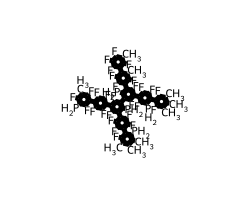 Cc1c(C)c(F)c(-c2c(F)c(F)c(-c3c(F)c(-c4c(F)c(C)c(-c5c(F)c(C)c(F)c(F)c5F)c(F)c4F)c(P)c(-c4c(F)c(-c5c(F)c(F)c(-c6c(F)c(C)c(F)c(P)c6F)c(F)c5F)c(F)c(-c5c(F)c(F)c(-c6c(F)c(C)c(C)c(C)c6P)c(F)c5F)c4P)c3F)c(F)c2P)c(F)c1C